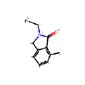 Cc1cccc2c1C(=O)N(CC(C)C)C2